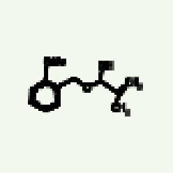 C=C(C)C(O)OCc1ccccc1OC